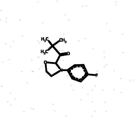 CC(C)(C)C(=O)C1OCCN1c1ccc(F)cc1